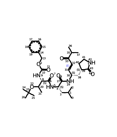 CC(C)C[C@H](NC(=O)[C@@H](NC(=O)OCc1ccccc1)C(C)OC(C)(C)C)C(=O)N[C@H](/C=C/C(=O)C(C)C)C[C@@H]1CCNC1=O